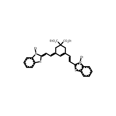 CCOC(=O)C1(C(=O)OCC)CC(/C=C/c2sc3ccccc3[n+]2CC)=CC(=C/C=C2\Sc3ccccc3N2CC)/C1